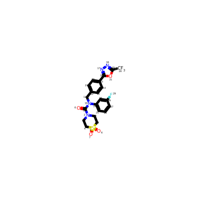 O=C(N1CCS(=O)(=O)CC1)N(Cc1ccc(-c2nnc(C(F)(F)F)o2)cc1)c1cccc(F)c1